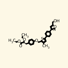 CCOC(=O)[C@H](Cc1ccc(OCc2sc(-c3ccc(-c4cc(CO)on4)cc3)cc2C)cc1)OCC